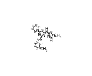 Cc1cccc(CSc2nc(Nc3cc(C)[nH]n3)cc(N3CCCCC3)n2)c1